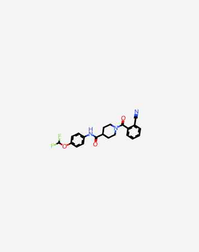 N#Cc1ccccc1C(=O)N1CCC(C(=O)Nc2ccc(OC(F)F)cc2)CC1